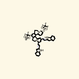 C(=C\c1cc2ccccc2[nH]1)/c1cc(/C=C/c2cc3ccccc3[nH]2)[n+]2c(c1)-c1c(ccc3c1-c1cccc[n+]1CC3)CC2.O=S(=O)([O-])C(F)(F)F.O=S(=O)([O-])C(F)(F)F